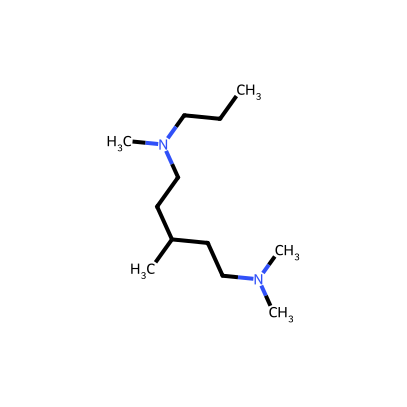 CCCN(C)CCC(C)CCN(C)C